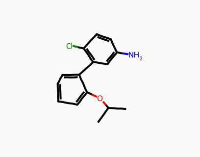 CC(C)Oc1ccccc1-c1cc(N)ccc1Cl